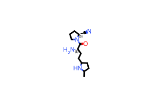 CC1CCC(CC[C@H](N)C(=O)N2CCC[C@H]2C#N)N1